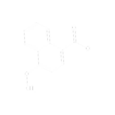 COc1ccc(C([O])=O)c2ccccc12